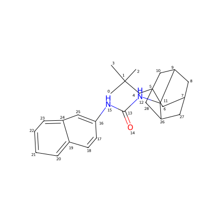 CC(C)(C)CC12CC3CC(C1)C(NC(=O)Nc1ccc4ccccc4c1)C(C3)C2